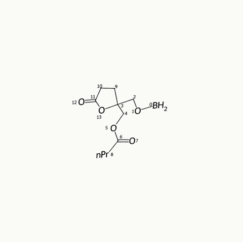 BOCC1(COC(=O)CCC)CCC(=O)O1